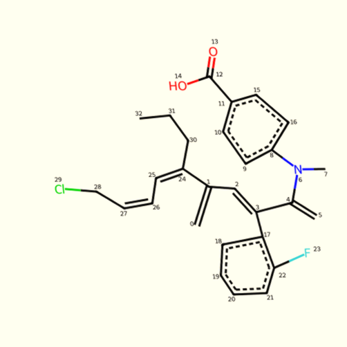 C=C(/C=C(/C(=C)N(C)c1ccc(C(=O)O)cc1)c1ccccc1F)/C(=C\C=C/CCl)CCC